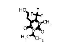 CC(C)n1c(=O)c(CCO)c(C(F)(F)F)n(C)c1=O